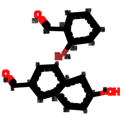 O=Cc1ccc2cc(O)ccc2c1.O=Cc1ccccc1Br